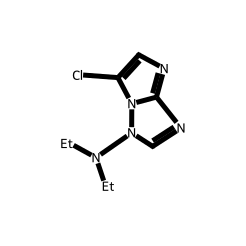 CCN(CC)n1cnc2ncc(Cl)n21